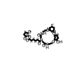 C[C@H]1CC[C@@H]2O[C@H]3CC[C@H](O)[C@@H](C3)OCCNC(=O)CN(C(=O)CCCCC(=O)ON3C(=O)CCC3=O)CC(=O)NCCO[C@@H]2C1